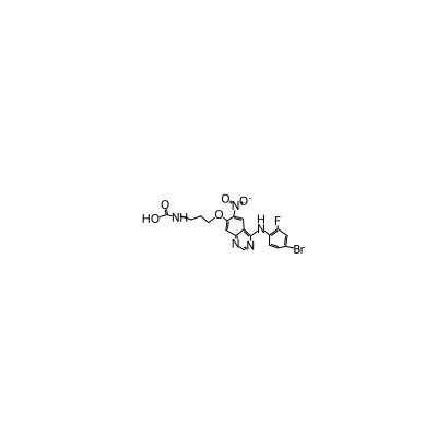 O=C(O)NCCCCOc1cc2ncnc(Nc3ccc(Br)cc3F)c2cc1[N+](=O)[O-]